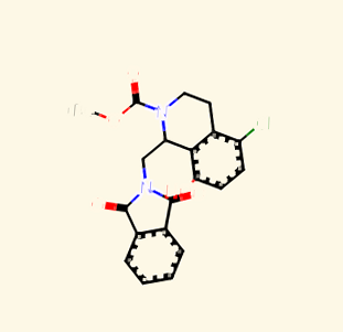 CC(C)(C)OC(=O)N1CCc2c(Cl)ccc(O)c2C1CN1C(=O)c2ccccc2C1=O